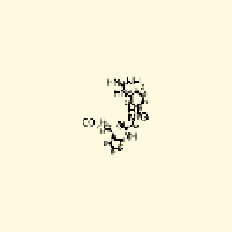 N=C(N)Nc1cccc(C(=O)NCC(=O)Nc2sccc2CCC(=O)O)c1